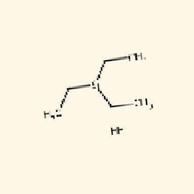 CC[Si](CC)CC.F